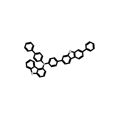 c1ccc(-c2ccc(N(c3ccc(-c4ccc5c(c4)oc4cc(-c6ccccc6)ccc45)cc3)c3cccc4oc5ccccc5c34)cc2)cc1